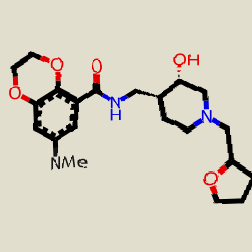 CNc1cc2c(c(C(=O)NC[C@@H]3CCN(CC4CCCO4)C[C@H]3O)c1)OCCO2